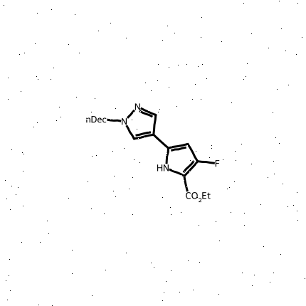 CCCCCCCCCCn1cc(-c2cc(F)c(C(=O)OCC)[nH]2)cn1